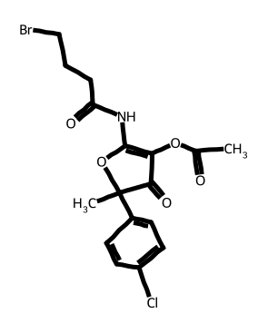 CC(=O)OC1=C(NC(=O)CCCBr)OC(C)(c2ccc(Cl)cc2)C1=O